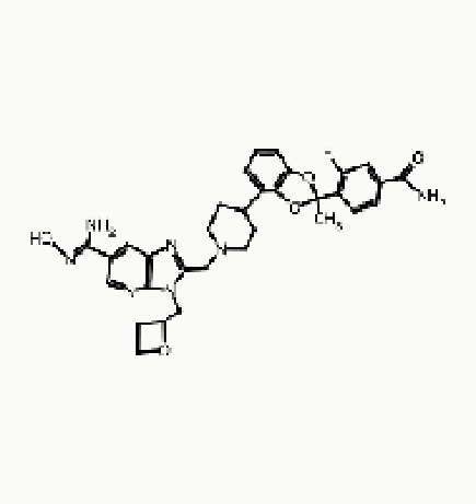 CC1(c2ccc(C(N)=O)cc2F)Oc2cccc(C3CCN(Cc4nc5cc(C(N)=NO)cnc5n4C[C@@H]4CCO4)CC3)c2O1